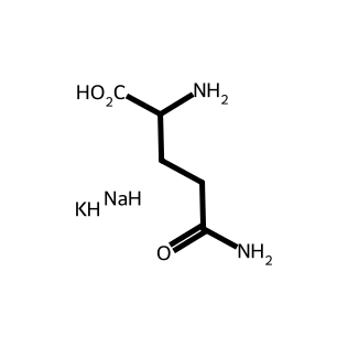 NC(=O)CCC(N)C(=O)O.[KH].[NaH]